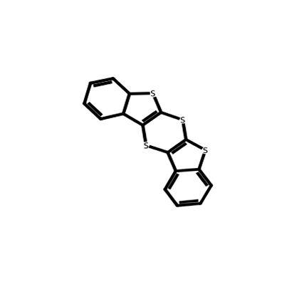 C1=CC2SC3=C(Sc4c(sc5ccccc45)S3)C2C=C1